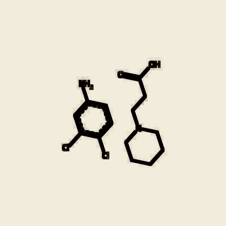 Nc1ccc(Cl)c(Cl)c1.O=C(O)CCN1CCCCC1